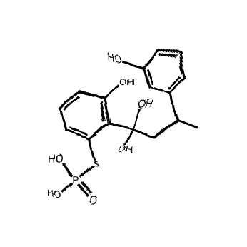 CC(CC(O)(O)c1c(O)cccc1SP(=O)(O)O)c1cccc(O)c1